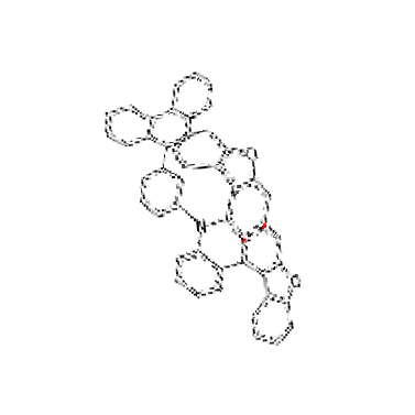 c1cc(-c2cc3ccccc3c3ccccc23)cc(N(c2ccccc2-c2cccc3oc4ccccc4c23)c2cccc3oc4ccccc4c23)c1